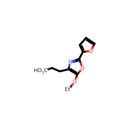 CCOc1oc(-c2ccco2)nc1CCC(=O)O